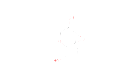 OCC1OCC(O)C2O[C@@H]12